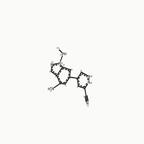 N#Cc1cc(-c2cc(N)c3cnn(PI)c3c2)cnn1